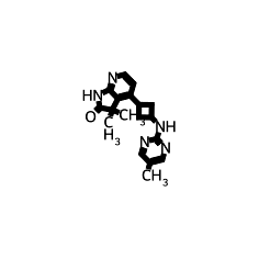 Cc1cnc(NC2CC(c3ccnc4c3C(C)(C)C(=O)N4)C2)nc1